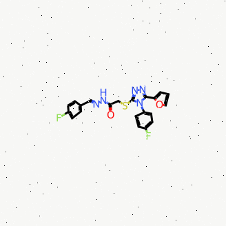 O=C(CSc1nnc(-c2ccco2)n1-c1ccc(F)cc1)NN=Cc1ccc(F)cc1